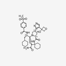 CS(=O)(=O)c1ccc(C(=O)N[C@H](CC2CCCCC2)C(=O)N2C[C@@H](n3nncc3C3(O)COC3)C[C@H]2C(=O)NC2(C(=O)C(N)=O)CCCCC2)cc1